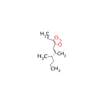 C=CC1=C(/C=C(\C)C(C)CCC)OCO1